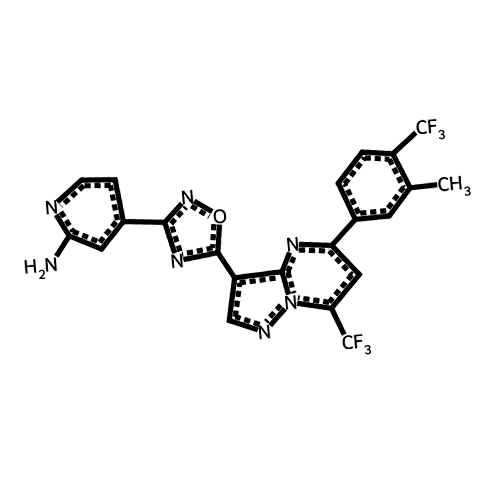 Cc1cc(-c2cc(C(F)(F)F)n3ncc(-c4nc(-c5ccnc(N)c5)no4)c3n2)ccc1C(F)(F)F